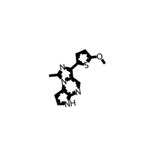 COc1ccc(-c2nc(C)n3c2cnc2[nH]ccc23)s1